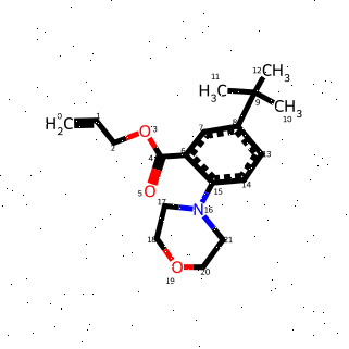 C=CCOC(=O)c1cc(C(C)(C)C)ccc1N1CCOCC1